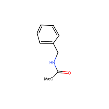 COC(=O)NCc1ccccc1